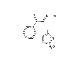 O.O=C(C=NO)c1ccccc1.c1cn[nH]c1